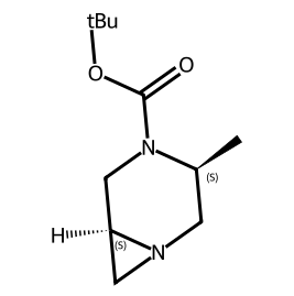 C[C@H]1CN2C[C@H]2CN1C(=O)OC(C)(C)C